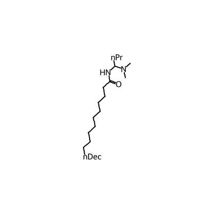 CCCCCCCCCCCCCCCCCCCC(=O)NC(CCC)N(C)C